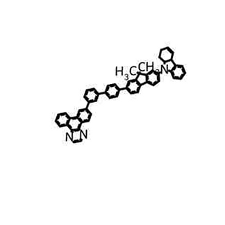 CC1(C)c2cc(-c3ccc(-c4cccc(-c5ccc6c(c5)c5ccccc5c5nccnc65)c4)cc3)ccc2-c2ccc(N3c4ccccc4C4C=CCCC43)cc21